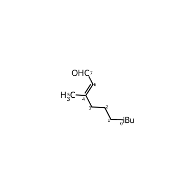 CCC(C)CCCC(C)=CC=O